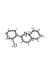 Clc1ncccc1-c1ccc2cnccc2n1